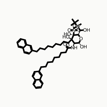 CC(C)(C)[Si](C)(C)C(O)[C@H]1O[C@H](O)[C@@H](NC(=O)CCCCCCCCc2ccc3ccccc3c2)[C@](O)(C(=O)CCCCCCCCc2ccc3ccccc3c2)[C@@]1(O)S(=O)(=O)O